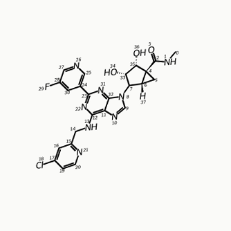 CNC(=O)[C@@]12C[C@@H]1C(n1cnc3c(NCc4cc(Cl)ccn4)nc(-c4cncc(F)c4)nc31)[C@H](O)[C@@H]2O